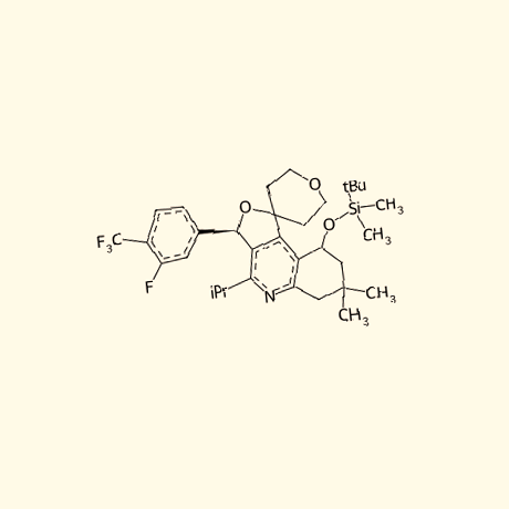 CC(C)c1nc2c(c3c1[C@@H](c1ccc(C(F)(F)F)c(F)c1)OC31CCOCC1)C(O[Si](C)(C)C(C)(C)C)CC(C)(C)C2